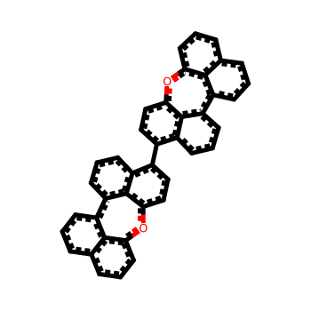 c1cc2cccc3c4cccc5c(-c6ccc7oc8cccc9cccc(c%10cccc6c7%10)c98)ccc(oc(c1)c23)c54